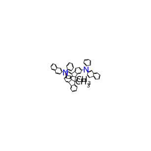 CC1(C2(C)c3ccccc3-c3ccc(N(c4ccccc4)c4ccc5ccccc5c4)cc32)c2ccccc2-c2ccc(N(c3ccccc3)c3ccc4ccccc4c3)cc21